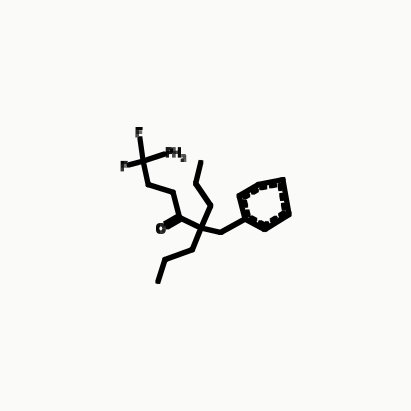 CCCC(CCC)(Cc1ccccc1)C(=O)CCC(F)(F)P